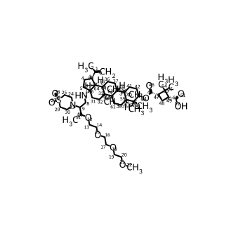 C=C(C)[C@@H]1CC[C@]2(NCC([C@@H](C)OCCOCCOCCOC)N3CCS(=O)(=O)CC3)CC[C@]3(C)[C@H](CC[C@@H]4[C@@]5(C)CC[C@H](OC(=O)[C@H]6C[C@@H](C(=O)O)C6(C)C)C(C)(C)[C@@H]5CC[C@]43C)[C@@H]12